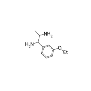 CCOc1cccc(C(N)C(C)N)c1